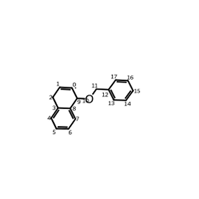 [C]1=CCc2ccccc2C1OCc1ccccc1